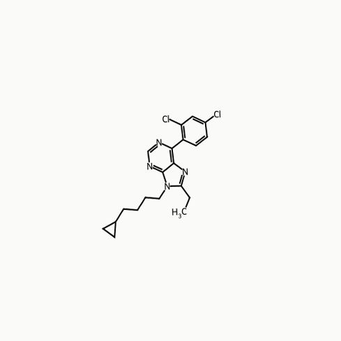 CCc1nc2c(-c3ccc(Cl)cc3Cl)ncnc2n1CCCCC1CC1